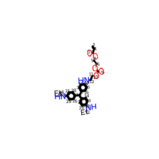 C=CC(=O)OCCOC(=O)OCCNc1ccc(C(c2ccc(NCC)cc2)c2ccc(NCC)cc2)cc1